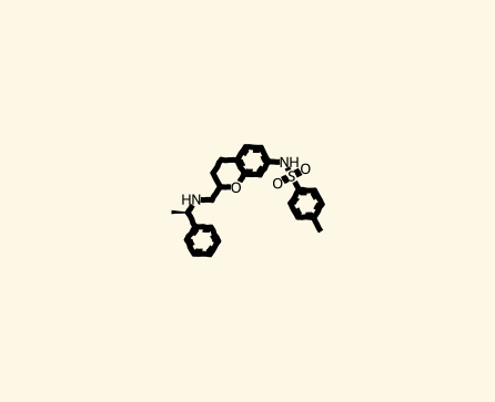 Cc1ccc(S(=O)(=O)Nc2ccc3c(c2)OC(CN[C@H](C)c2ccccc2)CC3)cc1